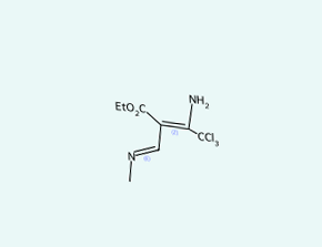 CCOC(=O)C(/C=N/C)=C(\N)C(Cl)(Cl)Cl